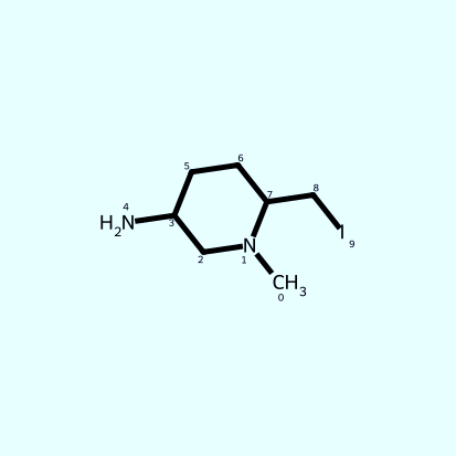 CN1CC(N)CCC1CI